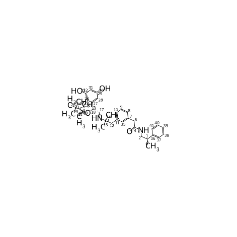 C[C@@H](CNC(=O)Cc1cccc(CC(C)(C)NC[C@H](O[Si](C)(C)C(C)(C)C)c2cc(O)cc(O)c2)c1)c1ccccc1